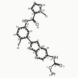 CC(C)OC(=O)Nc1cnc2nc(-c3cc(NC(=O)c4ccnn4C)ccc3F)cn2c1